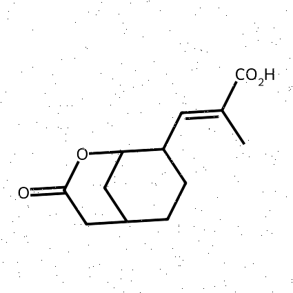 CC(=CC1CCC2CC(=O)OC1C2)C(=O)O